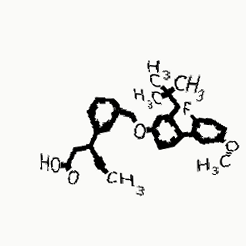 CC#CC(CC(=O)O)c1cccc(COc2ccc(-c3cc(OC)ccc3F)c(CC(C)(C)C)c2)c1